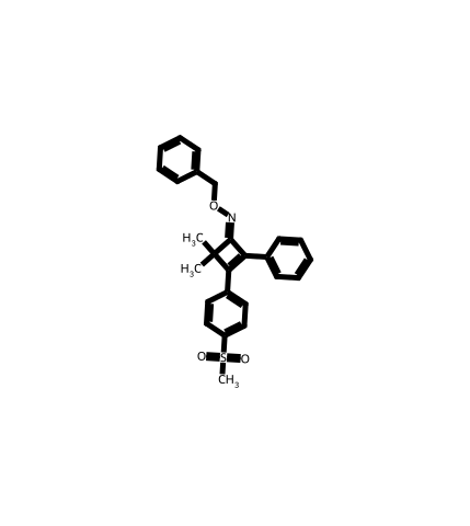 CC1(C)C(=NOCc2ccccc2)C(c2ccccc2)=C1c1ccc(S(C)(=O)=O)cc1